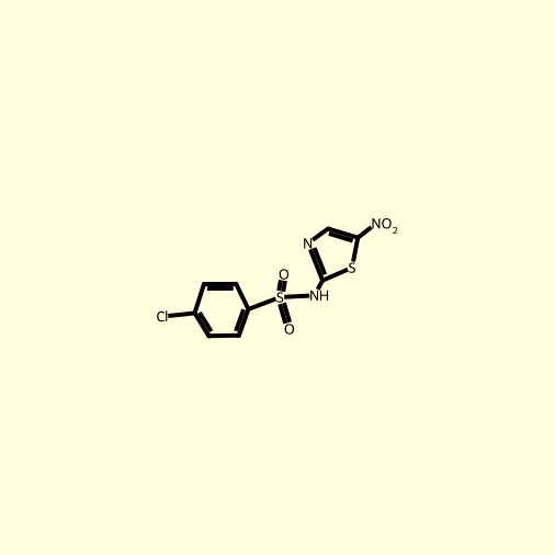 O=[N+]([O-])c1cnc(NS(=O)(=O)c2ccc(Cl)cc2)s1